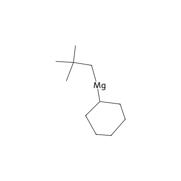 CC(C)(C)[CH2][Mg][CH]1CCCCC1